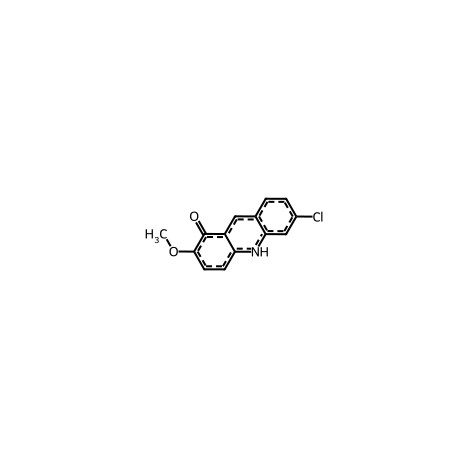 COc1ccc2[nH]c3cc(Cl)ccc3cc-2c1=O